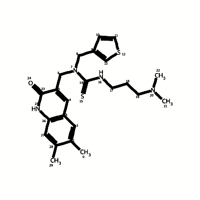 Cc1cc2cc(CN(Cc3ccsc3)C(=S)NCCCN(C)C)c(=O)[nH]c2cc1C